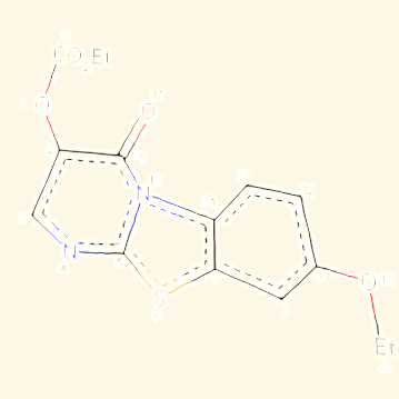 CCOC(=O)Oc1cnc2sc3cc(OCC)ccc3n2c1=O